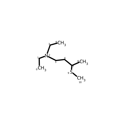 CCN(CC)CCC(C)SC